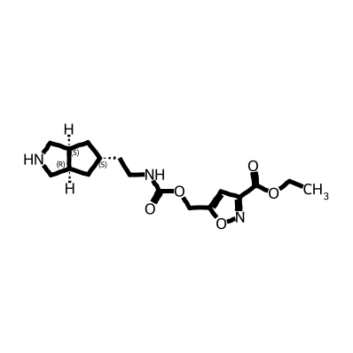 CCOC(=O)c1cc(COC(=O)NCC[C@@H]2C[C@H]3CNC[C@H]3C2)on1